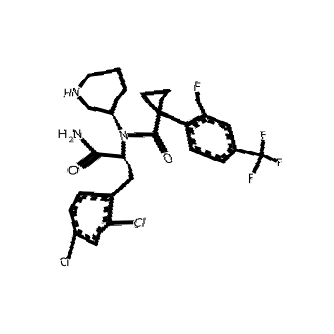 NC(=O)[C@H](Cc1ccc(Cl)cc1Cl)N(C(=O)C1(c2ccc(C(F)(F)F)cc2F)CC1)[C@@H]1CCCNC1